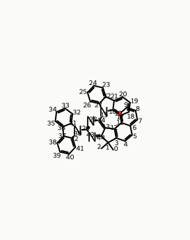 CC1(C)c2ccc3ccccc3c2-c2c(-n3c4ccccc4c4ccccc43)nc(-n3c4ccccc4c4ccccc43)nc21